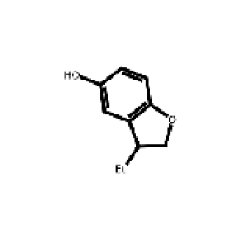 CCC1COc2ccc(O)cc21